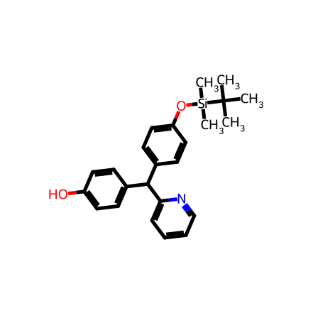 CC(C)(C)[Si](C)(C)Oc1ccc(C(c2ccc(O)cc2)c2ccccn2)cc1